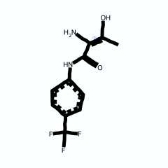 C/C(O)=C(/N)C(=O)Nc1ccc(C(F)(F)F)cc1